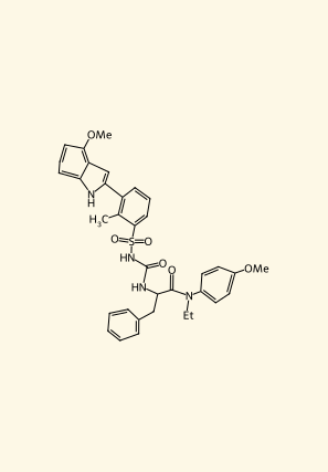 CCN(C(=O)C(Cc1ccccc1)NC(=O)NS(=O)(=O)c1cccc(-c2cc3c(OC)cccc3[nH]2)c1C)c1ccc(OC)cc1